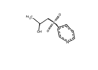 CC(O)CS(=O)(=O)c1cccnc1